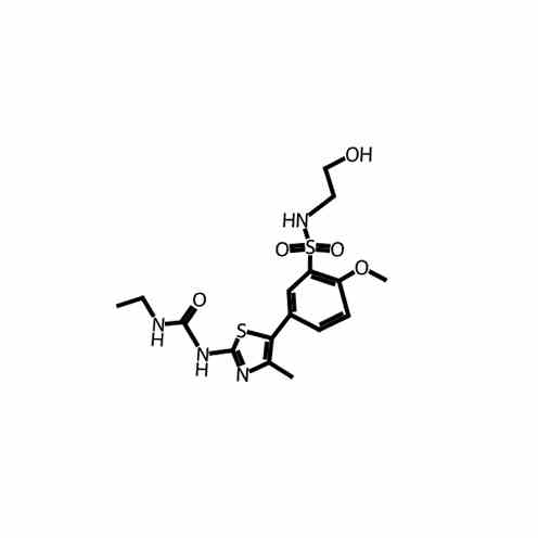 CCNC(=O)Nc1nc(C)c(-c2ccc(OC)c(S(=O)(=O)NCCO)c2)s1